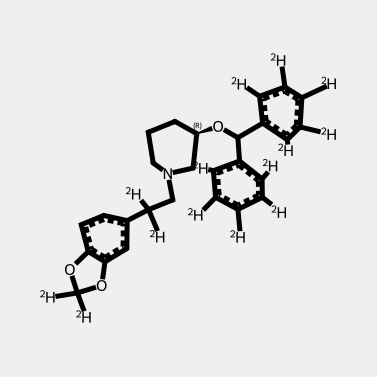 [2H]c1c([2H])c([2H])c(C(O[C@@H]2CCCN(CC([2H])([2H])c3ccc4c(c3)OC([2H])([2H])O4)C2)c2c([2H])c([2H])c([2H])c([2H])c2[2H])c([2H])c1[2H]